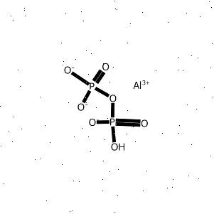 O=P([O-])([O-])OP(=O)([O-])O.[Al+3]